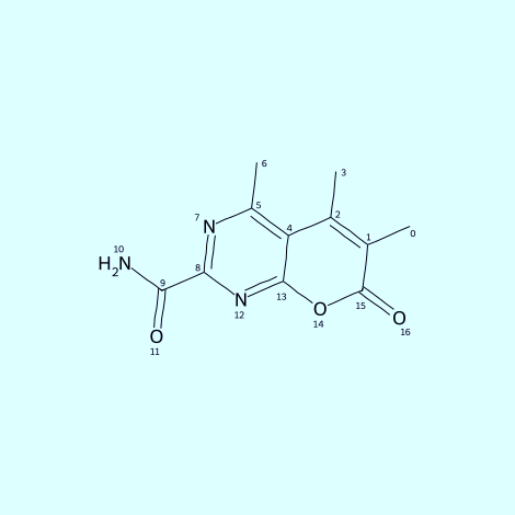 Cc1c(C)c2c(C)nc(C(N)=O)nc2oc1=O